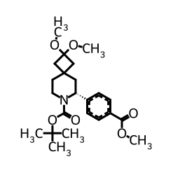 COC(=O)c1ccc([C@H]2CC3(CCN2C(=O)OC(C)(C)C)CC(OC)(OC)C3)cc1